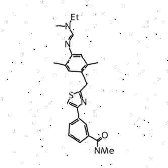 CCN(C)C=Nc1cc(C)c(Cc2nc(-c3cccc(C(=O)NC)c3)cs2)cc1C